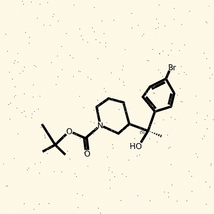 CC(C)(C)OC(=O)N1CCCC([C@](C)(O)c2ccc(Br)cc2)C1